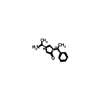 CC(N)[C@@H]1CC(=O)N([C@@H](C)c2ccccc2)C1